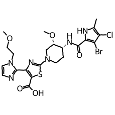 COCCn1ccnc1-c1nc(N2CC[C@@H](NC(=O)c3[nH]c(C)c(Cl)c3Br)[C@@H](OC)C2)sc1C(=O)O